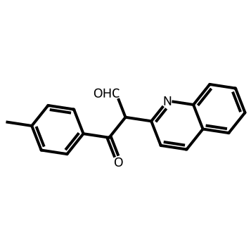 Cc1ccc(C(=O)C(C=O)c2ccc3ccccc3n2)cc1